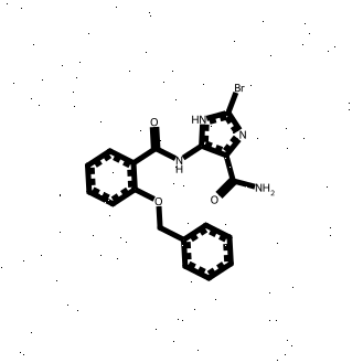 NC(=O)c1nc(Br)[nH]c1NC(=O)c1ccccc1OCc1ccccc1